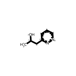 CC(O)Cc1cccnn1